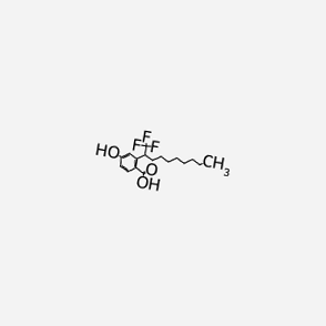 CCCCCCCCC(c1cc(O)ccc1C(=O)O)C(F)(F)F